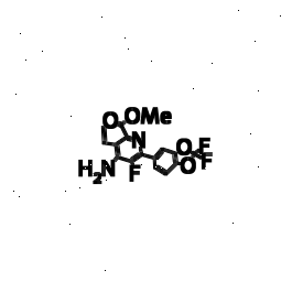 C=Cc1c(C(=O)OC)nc(-c2ccc3c(c2)OC(F)(F)O3)c(F)c1N